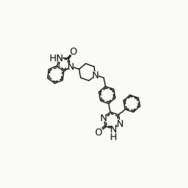 O=c1nc(-c2ccc(CN3CCC(n4c(=O)[nH]c5ccccc54)CC3)cc2)c(-c2ccccc2)n[nH]1